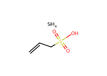 C=CCS(=O)(=O)O.[SiH4]